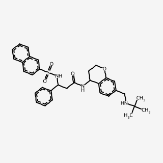 CC(C)(C)NCc1ccc2c(c1)OCCC2NC(=O)CC(NS(=O)(=O)c1ccc2ccccc2c1)c1ccccc1